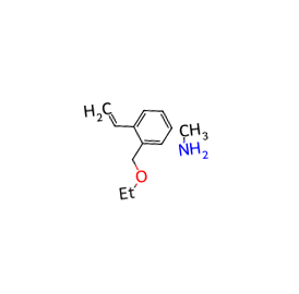 C=Cc1ccccc1COCC.CN